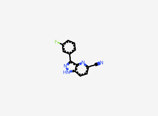 N#Cc1ccc2[nH]nc(-c3cccc(F)c3)c2n1